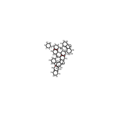 c1ccc(-c2ccc(N(c3ccccc3-c3ccccc3N(c3cccc(-c4ccc5ccccc5c4)c3)c3cccc4oc5ccccc5c34)c3cccc4oc5ccccc5c34)cc2)cc1